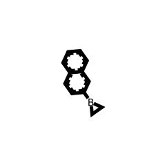 c1ccc2cc(B3CC3)ccc2c1